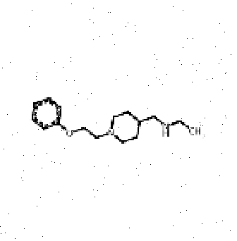 CCNCC1CCN(CCOc2ccccc2)CC1